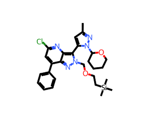 Cc1cc(-c2c3nc(Cl)cc(-c4ccccc4)c3nn2COCC[Si](C)(C)C)n(C2CCCCO2)n1